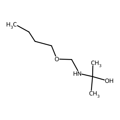 CCCCOCNC(C)(C)O